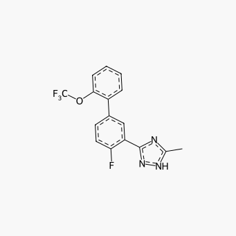 Cc1nc(-c2cc(-c3ccccc3OC(F)(F)F)ccc2F)n[nH]1